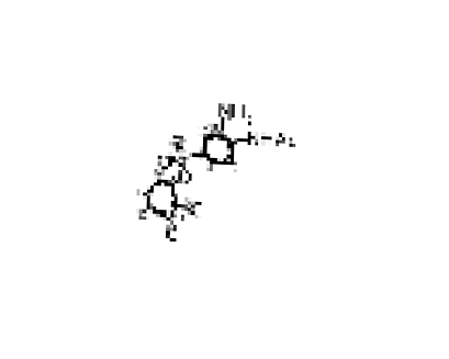 CC(=O)Nc1ccc(S(=O)(=O)Oc2cccc(Cl)c2Cl)cc1N